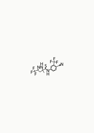 CC1(C(=S)Nc2ccc(C#N)c(C(F)(F)F)c2)CC(C(F)(F)F)=NN1